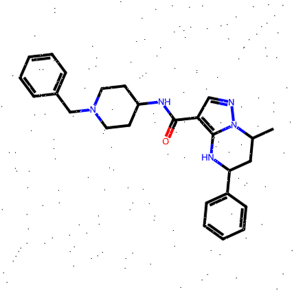 CC1CC(c2ccccc2)Nc2c(C(=O)NC3CCN(Cc4ccccc4)CC3)cnn21